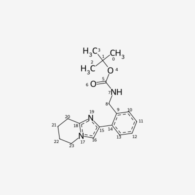 CC(C)(C)OC(=O)NCc1ccccc1-c1cn2c(n1)CCCC2